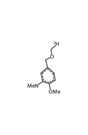 [2H]COCc1ccc(OC)c(NC)c1